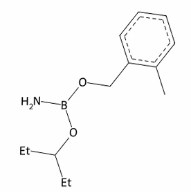 CCC(CC)OB(N)OCc1ccccc1C